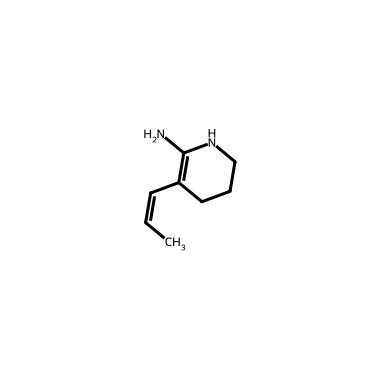 C/C=C\C1=C(N)NCCC1